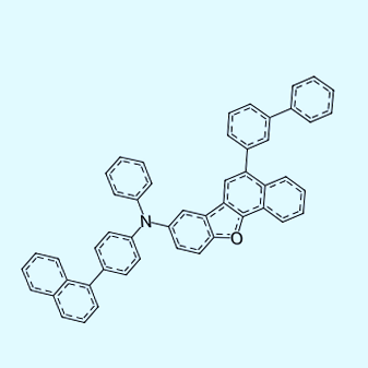 c1ccc(-c2cccc(-c3cc4c5cc(N(c6ccccc6)c6ccc(-c7cccc8ccccc78)cc6)ccc5oc4c4ccccc34)c2)cc1